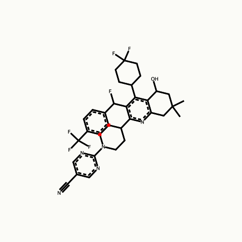 CC1(C)Cc2nc(C3CCN(c4ncc(C#N)cn4)CC3)c(C(F)c3ccc(C(F)(F)F)cc3)c(C3CCC(F)(F)CC3)c2C(O)C1